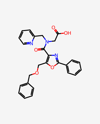 O=C(O)CN(Cc1ccccn1)C(=O)c1nc(-c2ccccc2)oc1COCc1ccccc1